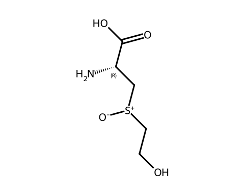 N[C@@H](C[S+]([O-])CCO)C(=O)O